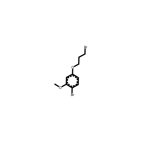 COc1cc(OCCCBr)ccc1Br